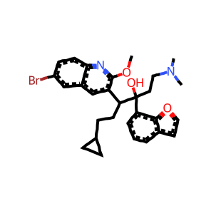 COc1nc2ccc(Br)cc2cc1C(CCC1CC1)C(O)(CCN(C)C)c1cccc2ccoc12